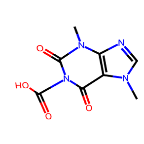 Cn1cnc2c1c(=O)n(C(=O)O)c(=O)n2C